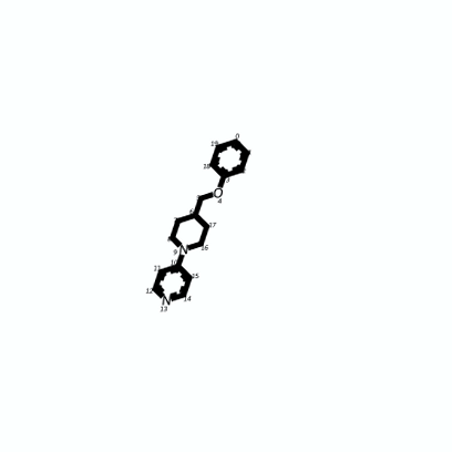 [c]1ccc(OCC2CCN(c3ccncc3)CC2)cc1